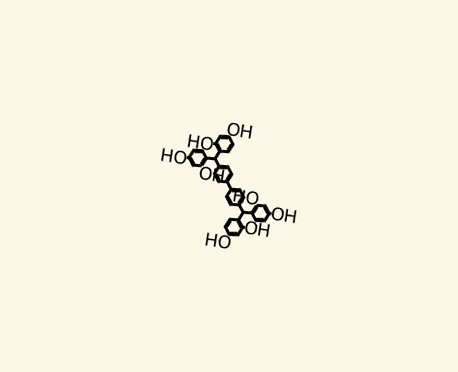 Oc1ccc(C(c2ccc(-c3ccc(C(c4ccc(O)cc4O)c4ccc(O)cc4O)cc3)cc2)c2ccc(O)cc2O)c(O)c1